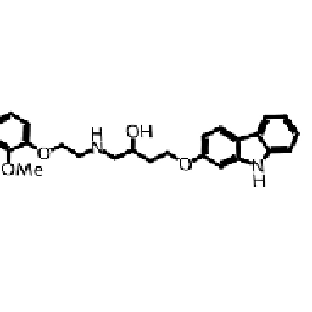 COc1ccccc1OCCNCC(O)CCOc1ccc2c(c1)[nH]c1ccccc12